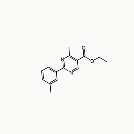 CCOC(=O)c1cnc(-c2cccc(C)c2)nc1C